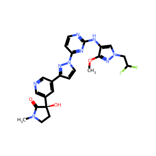 COc1nn(CC(F)F)cc1Nc1nccc(-n2ccc(-c3cncc([C@]4(O)CCN(C)C4=O)c3)n2)n1